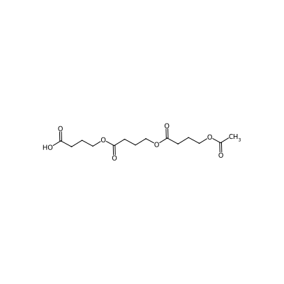 CC(=O)OCCCC(=O)OCCCC(=O)OCCCC(=O)O